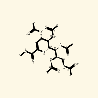 COC(=O)C1=C[C@H](OC(C)=O)[C@@H](NC(C)=O)[C@H]([C@H](OC(C)=O)[C@@H](COC(C)=O)OC(C)=O)O1